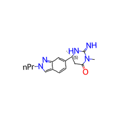 CCCn1cc2ccc([C@]3(C)CC(=O)N(C)C(=N)N3)cc2n1